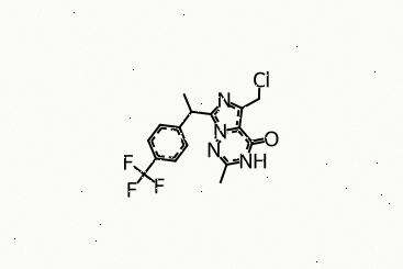 Cc1nn2c(C(C)c3ccc(C(F)(F)F)cc3)nc(CCl)c2c(=O)[nH]1